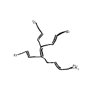 CC=CCC(C=CCC)=C(C=CCC)C=CCC